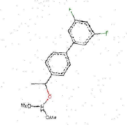 CO[SiH](OC)OC(C)c1ccc(-c2cc(F)cc(F)c2)cc1